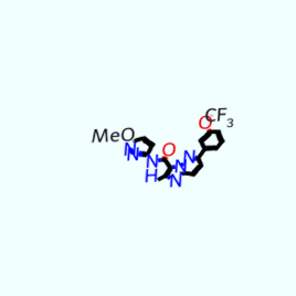 COc1ccc(NC(=O)c2c(C)nc3ccc(-c4cccc(OC(F)(F)F)c4)nn23)nn1